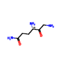 NCC(=O)[C@@H](N)CCC(N)=O